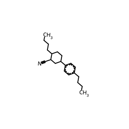 CCCCc1ccc(C2CCC(CCCC)C(C#N)C2)cc1